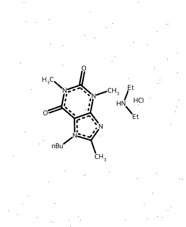 CCCCn1c(C)nc2c1c(=O)n(C)c(=O)n2C.CCNCC.Cl